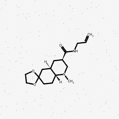 C=CCNC(=O)[C@@H]1C[C@@H]2CC3(CC[C@H]2N(C)C1)OCCO3